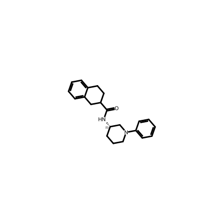 O=C(N[C@H]1CCCN(c2ccccc2)C1)C1CCc2ccccc2C1